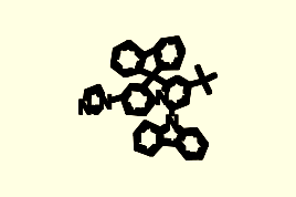 CC(C)(C)c1cc(-n2c3ccccc3c3ccccc32)nc(C2(c3cccc(-n4ccnc4)c3)c3ccccc3-c3ccccc32)c1